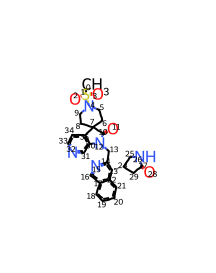 CS(=O)(=O)N1CCC2(CC1)C(=O)N(Cc1ncc3ccccc3c1[C@@H]1CNC(=O)C1)c1cnccc12